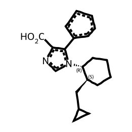 O=C(O)c1ncn([C@@H]2CCCC[C@H]2CC2CC2)c1-c1ccccc1